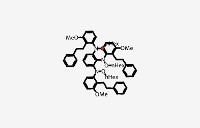 CCCCCCON(c1cccc(OC)c1CCc1ccccc1)c1cccc(N(OCCCCCC)c2cccc(OC)c2CCc2ccccc2)c1N(OCCCCCC)c1cccc(OC)c1CCc1ccccc1